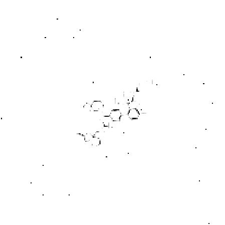 CC(C)(C)OC(=O)Nc1sc2c(F)ccc(-c3c(Cl)cc4c(N5CCCC6(CCO6)C5)nc(OCC56CCCN5C/C(=C\F)C6)nc4c3F)c2c1C#N